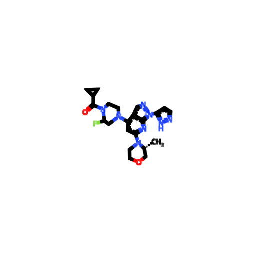 C[C@@H]1COCCN1c1cc(N2CCN(C(=O)C3CC3)C(F)C2)c2cnn(-c3ccn[nH]3)c2n1